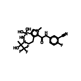 Cn1cc2c(c1C(=O)Nc1ccc(F)c(C#N)c1)CCN(C(C)(O)C(F)(F)F)N[N+]2(O)O